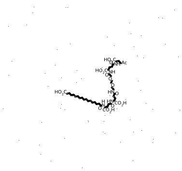 CC(=O)CC[C@H](NC(=O)CCC(NC(=O)COCCOCCNC(=O)CCC(NC(=O)CC[C@H](NC(=O)CCCCCCCCCCCCCCCCC(=O)O)C(=O)O)C(=O)O)C(=O)O)C(=O)O